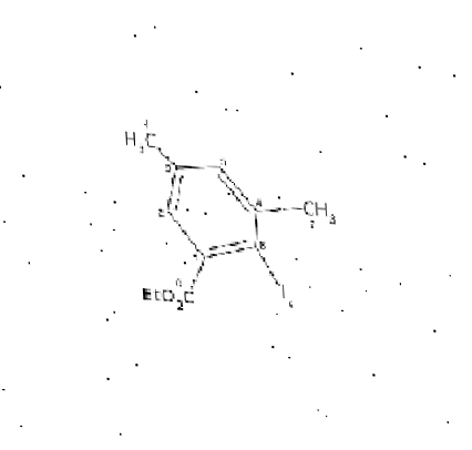 CCOC(=O)c1cc(C)cc(C)c1I